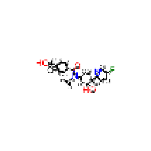 C[C@](O)(c1ccc(C(=O)N(C2CC2)C2CCC(CO)(c3ccc(F)cn3)CC2)cc1)C(F)(F)F